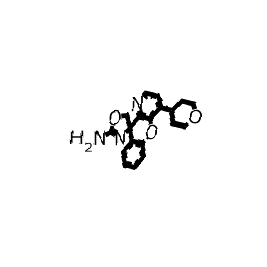 NC1=NC2(CO1)c1ccccc1Oc1c(C3CCOCC3)ccnc12